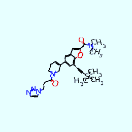 CN(C)C(=O)c1cc2cc(C3=CCCN(C(=O)CCn4ccnn4)C3)cc(C#C[Si](C)(C)C)c2o1